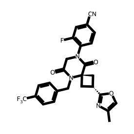 Cc1coc([C@H]2C[C@]3(C2)C(=O)N(c2ccc(C#N)cc2F)CC(=O)N3Cc2ccc(C(F)(F)F)cc2)n1